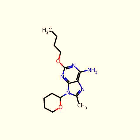 CCCCOc1nc(N)c2nc(C)n(C3CCCCO3)c2n1